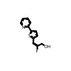 OC/C(F)=C\c1ccc(-c2ccccn2)s1